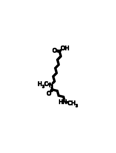 CNCCCC(=O)N(C)CCCCCCCC(=O)O